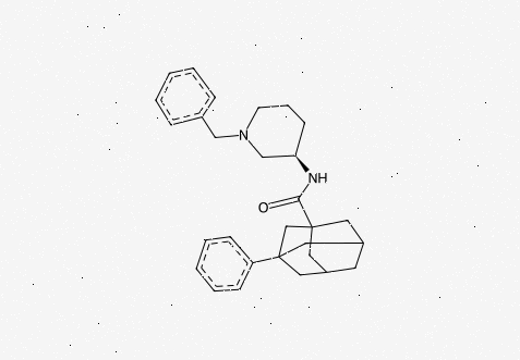 O=C(N[C@@H]1CCCN(Cc2ccccc2)C1)C12CC3CC(C1)CC(c1ccccc1)(C3)C2